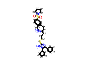 O=S(=O)(c1ccc2c(c1)CCC(CCCSc1nc(-c3ccccc3)c(-c3ccccc3)[nH]1)NC2)N1CCCC1